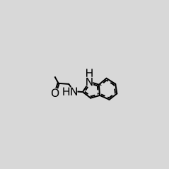 CC(=O)CNc1cc2ccccc2[nH]1